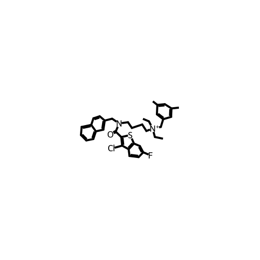 CC[N+](CC)(CCCCN(Cc1ccc2ccccc2c1)C(=O)c1sc2cc(F)ccc2c1Cl)Cc1cc(C)cc(C)c1